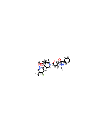 [C-]#[N+]c1cnc(C2(O)CCN(C(=O)CC(C)(C)NC(=O)c3ccccc3)CC2(C)C)cc1F